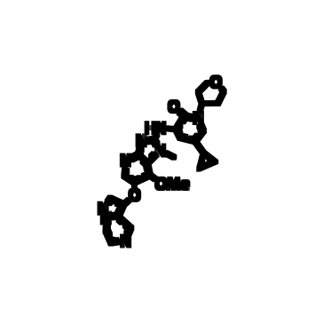 COc1c(Oc2cnn3ccncc23)cnc2nc(Nc3cc(C4CC4)cn(C4CCOCC4)c3=O)n(C)c12